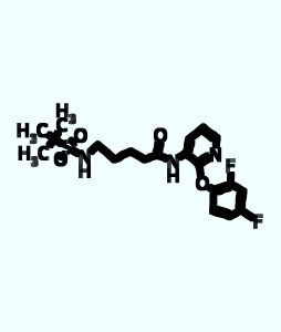 CC(C)(C)S(=O)(=O)NCCCCC(=O)Nc1cccnc1Oc1ccc(F)cc1F